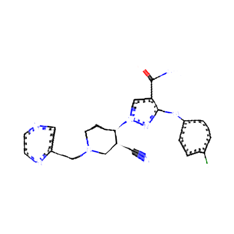 N#C[C@H]1CN(Cc2cnccn2)CC[C@H]1n1cc(C(N)=O)c(Nc2ccc(F)cc2)n1